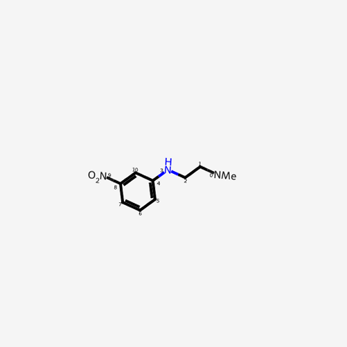 [CH2]NCCNc1cccc([N+](=O)[O-])c1